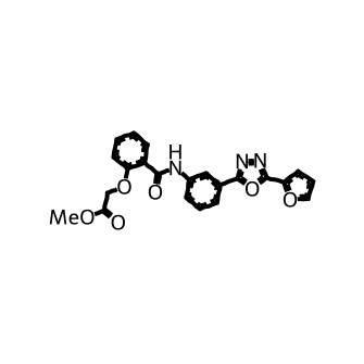 COC(=O)COc1ccccc1C(=O)Nc1cccc(-c2nnc(-c3ccco3)o2)c1